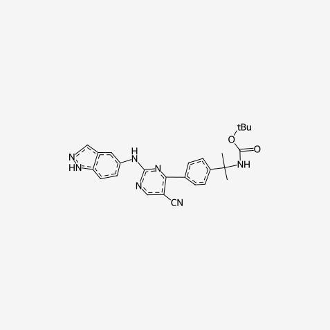 CC(C)(C)OC(=O)NC(C)(C)c1ccc(-c2nc(Nc3ccc4[nH]ncc4c3)ncc2C#N)cc1